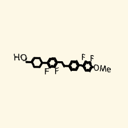 COc1ccc(-c2ccc(CCc3ccc(C4CCC(CO)CC4)c(F)c3F)cc2)c(F)c1F